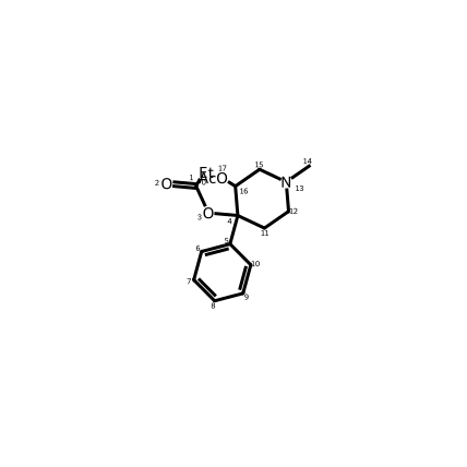 CCC(=O)OC1(c2ccccc2)CCN(C)CC1OC(C)=O